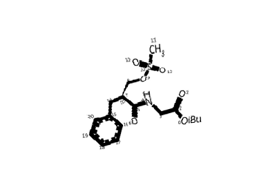 CC(C)COC(=O)CNC(=O)[C@H](COS(C)(=O)=O)Cc1ccccc1